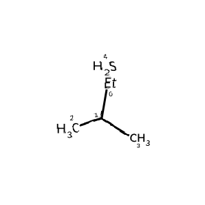 CCC(C)C.S